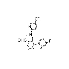 CN(Cc1c(C=O)ccnc1-c1ccc(F)cc1F)c1ccc(C(F)(F)F)cn1